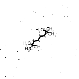 [CH2]C(C)(C)CCCCC([CH2])(C)C